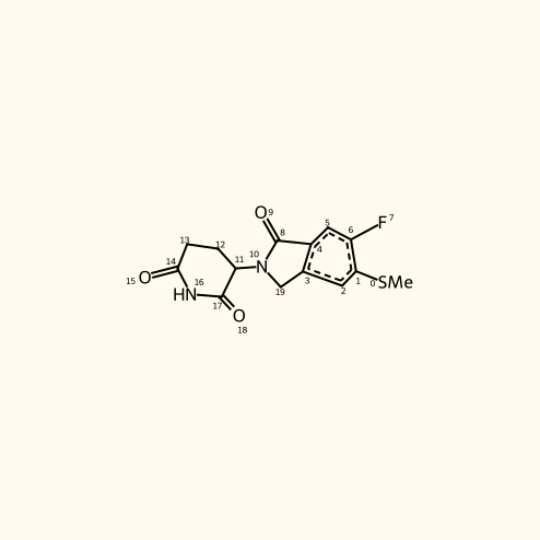 CSc1cc2c(cc1F)C(=O)N(C1CCC(=O)NC1=O)C2